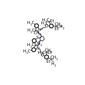 CCC(C)(C)c1ccc(OCCCN2/C(=C/C=C3\CCCC(/C=C/C4=[N+](CCCOc5ccc(C(C)(C)CC)cc5C(C)(C)CC)c5ccc(C)cc5C4(C)C)=C3Sc3ccccc3)C(C)(C)c3cc(C)ccc32)c(C(C)(C)CC)c1